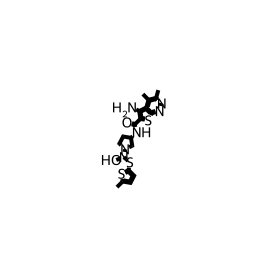 Cc1ccc(SN(O)N2CCC(NC(=O)c3sc4nnc(C)c(C)c4c3N)C2)s1